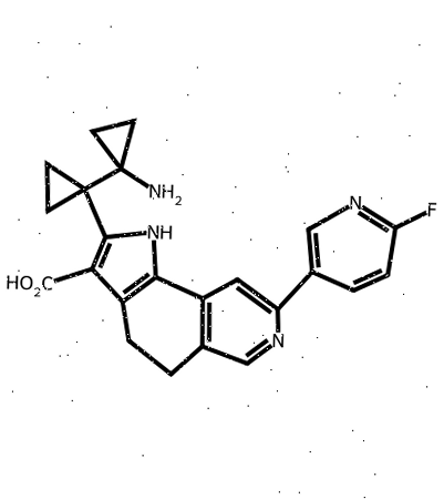 NC1(C2(c3[nH]c4c(c3C(=O)O)CCc3cnc(-c5ccc(F)nc5)cc3-4)CC2)CC1